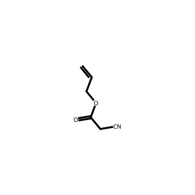 C=CCOC(=O)CC#N